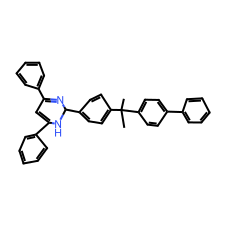 CC(C)(c1ccc(-c2ccccc2)cc1)c1ccc(C2N=C(c3ccccc3)C=C(c3ccccc3)N2)cc1